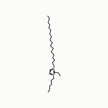 CCCCCCCCCCCCCCCCCCn1cc[n+](CCCCCC)c1CC